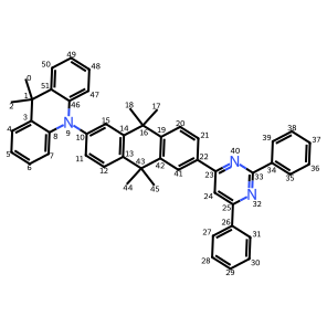 CC1(C)c2ccccc2N(c2ccc3c(c2)C(C)(C)c2ccc(-c4cc(-c5ccccc5)nc(-c5ccccc5)n4)cc2C3(C)C)c2ccccc21